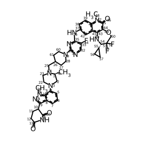 C[C@H]1CN(c2cccc3c(C4CCC(=O)NC4=O)nn(C)c23)CCN1CC1CCN(c2ncc(F)c(Nc3ccc4c(c3)c3c(c(=O)n4C)OCC(F)(F)[C@H](C4CC4)N3)n2)CC1